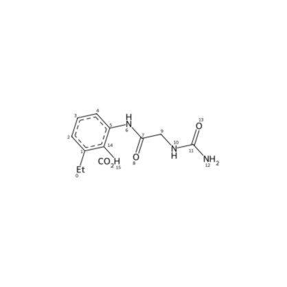 CCc1cccc(NC(=O)CNC(N)=O)c1C(=O)O